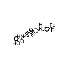 O=C(NCc1ccc(S(=O)(=O)N2CCC(NCc3ccc(C(F)(F)F)cc3)CC2)s1)c1ccccc1O